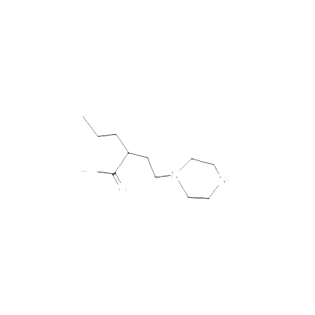 CCCC(CCN1CCNCC1)C(=O)O